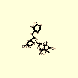 CC1(C)C(=O)Nc2nc(-n3nc(Cc4cccc(F)c4F)c4cc(Cl)sc43)nc(N)c21